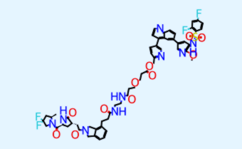 COc1ncc(-c2ccc3nccc(-c4ccc(COC(=O)CCOCCC(=O)NCCNC(=O)CCc5cccc6c5CN(C(=O)C[C@@H]5C[C@@H](C(=O)N7CC(F)(F)C[C@H]7C)NC5=O)C6)nc4)c3c2)cc1NS(=O)(=O)c1ccc(F)cc1F